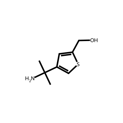 CC(C)(N)c1csc(CO)c1